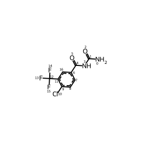 NC(=O)NC(=O)c1ccc(Cl)c(C(F)(F)F)c1